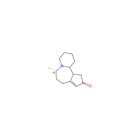 C[C@H]1CCC2=CC(=O)CC2C2CCCCN21